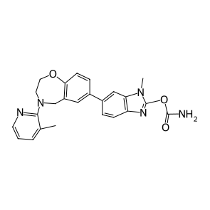 Cc1cccnc1N1CCOc2ccc(-c3ccc4nc(OC(N)=O)n(C)c4c3)cc2C1